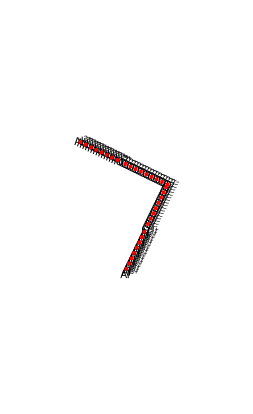 [Al+3].[Al+3].[Al+3].[Al+3].[Al+3].[Al+3].[Al+3].[Al+3].[Al+3].[Al+3].[Al+3].[Al+3].[Al+3].[Al+3].[Al+3].[Al+3].[Al+3].[Al+3].[Al+3].[Al+3].[Al+3].[Al+3].[Al+3].[Al+3].[Al+3].[Al+3].[Al+3].[Al+3].[Al+3].[Al+3].[Al+3].[Al+3].[Al+3].[O-2].[O-2].[O-2].[O-2].[O-2].[O-2].[O-2].[O-2].[O-2].[O-2].[O-2].[O-2].[O-2].[O-2].[O-2].[O-2].[O-2].[O-2].[O-2].[O-2].[O-2].[O-2].[O-2].[O-2].[O-2].[O-2].[O-2].[O-2].[O-2].[O-2].[O-2].[O-2].[O-2].[O-2].[O-2].[O-2]